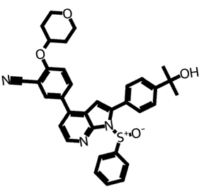 CC(C)(O)c1ccc(-c2cc3c(-c4ccc(OC5CCOCC5)c(C#N)c4)ccnc3n2[S+]([O-])c2ccccc2)cc1